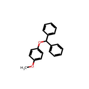 COc1ccc(OC(c2ccccc2)c2ccccc2)cc1